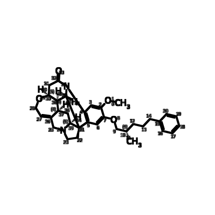 COc1cc2c(cc1OC[C@@H](C)CCCc1ccccc1)[C@@]13CCN4CC5=CCO[C@H]6CC(=O)N2[C@H]1[C@H]6[C@H]5C[C@H]43